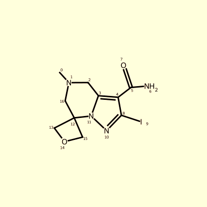 CN1Cc2c(C(N)=O)c(I)nn2C2(COC2)C1